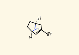 CC(C)C1=C[C@H]2CC[C@@H](C1)N2C